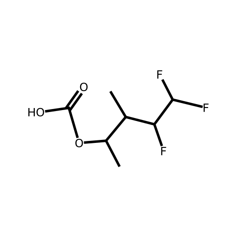 CC(OC(=O)O)C(C)C(F)C(F)F